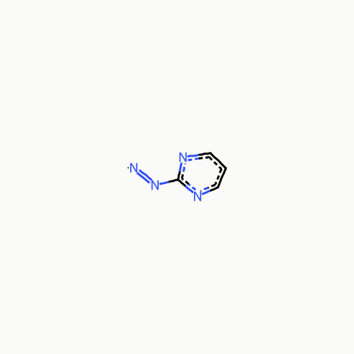 [N]=Nc1ncccn1